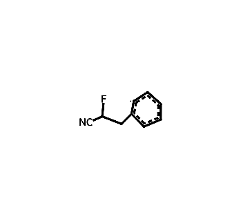 N#CC(F)Cc1[c]cccc1